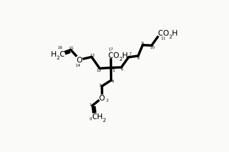 C=COCCC(CCCCCC(=O)O)(CCOC=C)C(=O)O